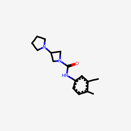 Cc1ccc(NC(=O)N2CC(N3CCCC3)C2)cc1C